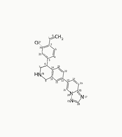 C=Cc1ccc(C2CNCc3cc(-c4ccc5ncnn5c4)ccc32)cc1Cl